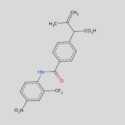 C=C(C)C(C(=O)O)c1ccc(C(=O)Nc2ccc([N+](=O)[O-])cc2C(F)(F)F)cc1